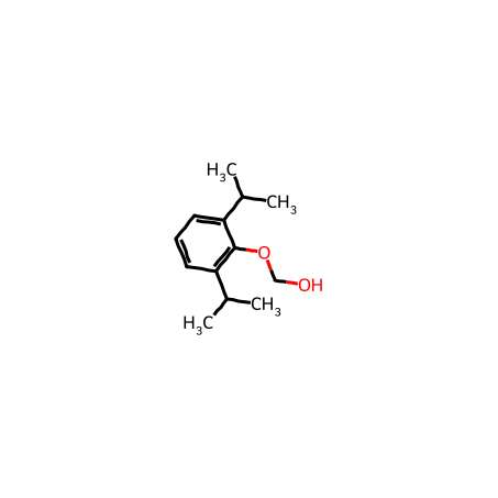 CC(C)c1cccc(C(C)C)c1OCO